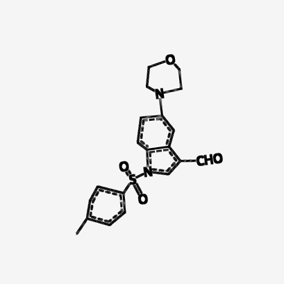 Cc1ccc(S(=O)(=O)n2cc(C=O)c3cc(N4CCOCC4)ccc32)cc1